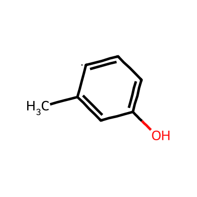 Cc1[c]ccc(O)c1